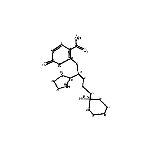 O=C1C=CC(C(=O)O)=C(CC(CCCC2(O)CCCCC2)C2NCCS2)C1